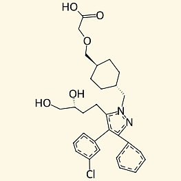 O=C(O)COC[C@H]1CC[C@H](Cn2nc(-c3ccccc3)c(-c3cccc(Cl)c3)c2CC[C@@H](O)CO)CC1